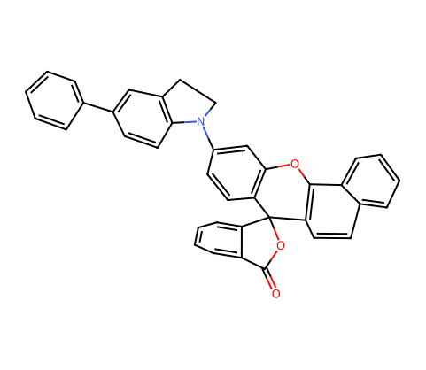 O=C1OC2(c3ccc(N4CCc5cc(-c6ccccc6)ccc54)cc3Oc3c2ccc2ccccc32)c2ccccc21